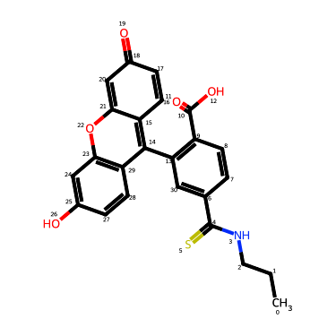 CCCNC(=S)c1ccc(C(=O)O)c(-c2c3ccc(=O)cc-3oc3cc(O)ccc23)c1